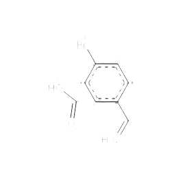 C=Cc1ccc(Br)cc1.O=CO